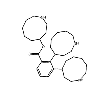 O=C(OC1CCCCCNCC1)c1cccc(C2CCCCCNCC2)c1C1CCCCCNCC1